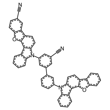 N#Cc1cc(-c2cccc(-n3c4ccccc4c4c5oc6ccccc6c5ccc43)c2)cc(-n2c3ccccc3c3c4oc5ccc(C#N)cc5c4ccc32)c1